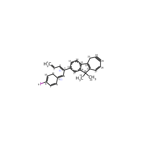 C=C/C=C(\C=C1\C=CC(I)=CC1)c1ccc2c(c1)C(C)(C)C1=C2CC#CC=C1